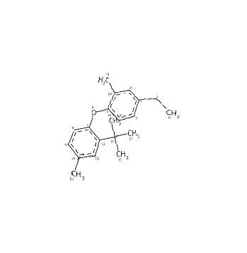 CCc1ccc(Oc2ccc(C)cc2C(C)(C)C)c(C)c1